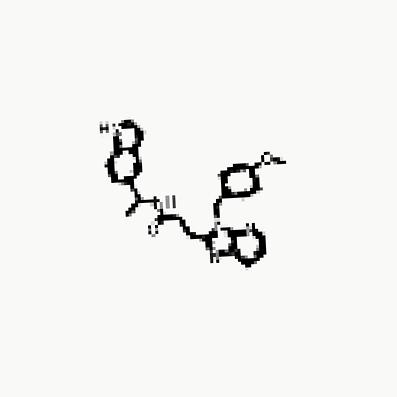 COc1ccc(Cn2c(CCC(=O)NC(C)c3ccc4[nH]ccc4c3)nc3cccnc32)cc1